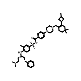 Cc1cc(S(=O)(=O)NC(=O)c2ccc(N3CCN(CC4=C(C5CC(C)C5)CC(C)(C)CC4)CC3)cc2)ccc1N[C@H](CCN(C)C)CSc1ccccc1